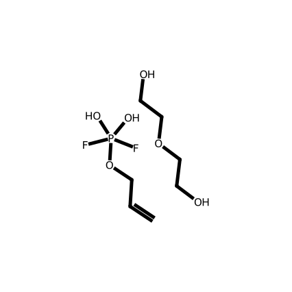 C=CCOP(O)(O)(F)F.OCCOCCO